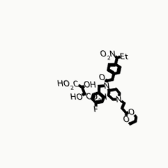 CCC(c1ccc(CC(=O)N(Cc2ccc(F)cc2)C2CCN(CCC3OCCCO3)CC2)cc1)[N+](=O)[O-].O=C(O)C(O)C(O)C(=O)O